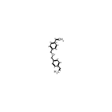 C=Cc1ccc(COCc2ccc(C=C)cc2)cc1